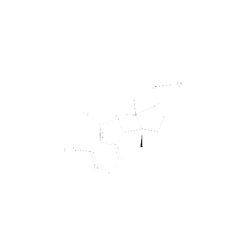 COC(=O)[C@@H]1CC[C@](C)(c2nc(Br)c3c(N)nccn23)C1(C)C